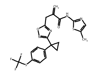 C=C(Cc1nc(C2(c3ccc(SC(F)(F)F)cc3)CC2)no1)C(=O)Nc1ncc(C)s1